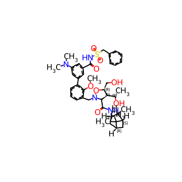 COc1c(CN2O[C@@H](CO)[C@@H]([C@H](C)O)C2C(=O)N[C@H]2C[C@H]3C[C@@H]([C@@H]2C)C3(C)C)cccc1-c1cc(C(=O)NS(=O)(=O)Cc2ccccc2)cc(N(C)C)c1